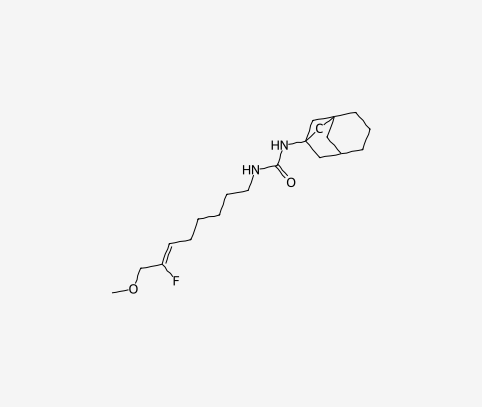 COC/C(F)=C/CCCCCNC(=O)NC12CC3CCCC(C3)(C1)C2